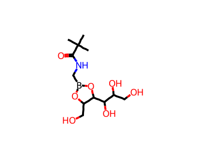 CC(C)(C)C(=O)NCB1OC(CO)C(C(O)C(O)CO)O1